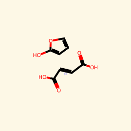 O=C(O)/C=C/C(=O)O.Oc1ccco1